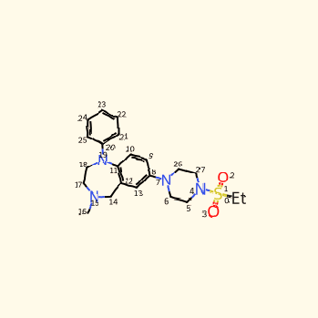 CCS(=O)(=O)N1CCN(c2ccc3c(c2)CN(C)CCN3c2ccccc2)CC1